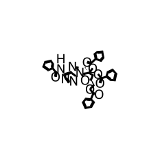 C[C@]1(OC(=O)c2ccccc2)C(OC(=O)c2ccccc2)[C@@H](COC(=O)c2ccccc2)O[C@H]1n1cnc2c(NC(=O)c3ccccc3)ncnc21